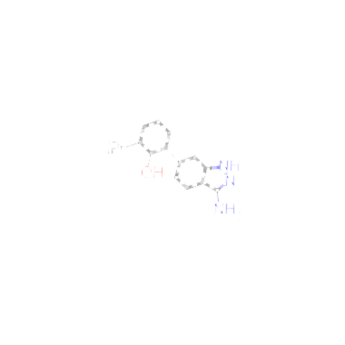 CC(C)c1cccc(-c2ccc3c(N)n[nH]c3c2)c1O